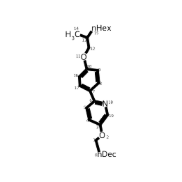 CCCCCCCCCCCOc1ccc(-c2ccc(OCC(C)CCCCCC)cc2)nc1